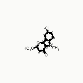 Cn1c2ccc(Cl)cc2c2oc(C(=O)O)cc(=O)c21